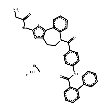 CCC.Cl.NCC(=O)Nc1nc2c(s1)CCN(C(=O)c1ccc(NC(=O)c3ccccc3-c3ccccc3)cc1)c1ccccc1-2.O